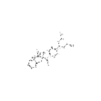 CCC(Cc1ccccc1)(C(=O)c1ccc(N(CCO)CCO)cc1)N(C)C